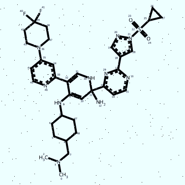 CN(C)CC1CCC(NC2=CC(N)(c3ccnc(-c4cnn(S(=O)(=O)C5CC5)c4)n3)NC=C2c2cc(N3CCC(F)(F)CC3)ccn2)CC1